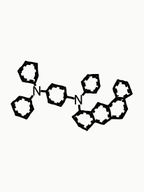 c1ccc(N(c2ccccc2)c2ccc(N(c3ccccc3)c3cccc4cc5ccc6ccccc6c5cc34)cc2)cc1